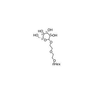 CCCCCCOCCOCCOC1O[C@H](CO)[C@@H](O)[C@H](O)[C@H]1O